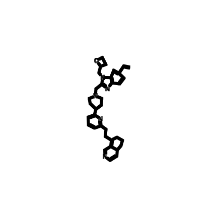 C=Cc1ccc2nc(CN3CCC(c4cccc(CCC5=C6C=NC=CC6CCC5)n4)CC3)n(CC3CCO3)c2c1